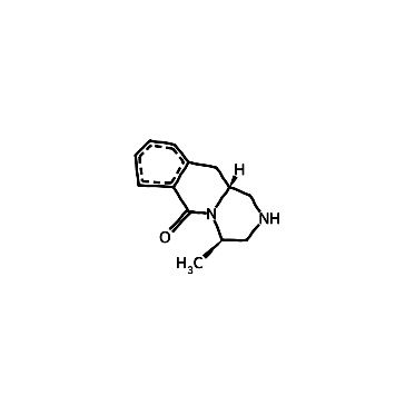 C[C@@H]1CNC[C@H]2Cc3ccccc3C(=O)N21